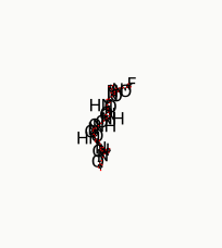 Cc1ccc(C(=O)CCCN2CCC3(CC2)C(=O)N(CCc2ccc(NC(=O)CCC(=O)N(C)CC(=O)NCCOCCNC(=O)CN(C)C(=O)CCC(=O)Nc4ccc(CCN5CN(c6ccccc6)C6(CCN(CCCC(=O)c7ccc(F)cc7)CC6)C5=O)cc4)cc2)CN3c2ccccc2)cc1